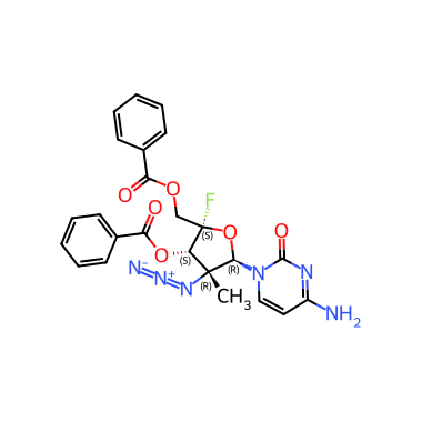 C[C@]1(N=[N+]=[N-])[C@H](n2ccc(N)nc2=O)O[C@](F)(COC(=O)c2ccccc2)[C@H]1OC(=O)c1ccccc1